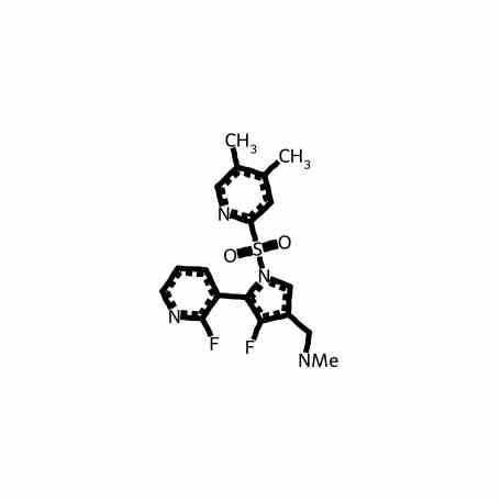 CNCc1cn(S(=O)(=O)c2cc(C)c(C)cn2)c(-c2cccnc2F)c1F